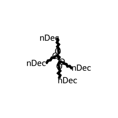 CCCCCCCCCCCCCCCOC[C@@H](CC[C@@H](COCCCCCCCCCCCCCCC)OCCCCCCCCCCCCCCC)OCCCCCCCCCCCCCCC